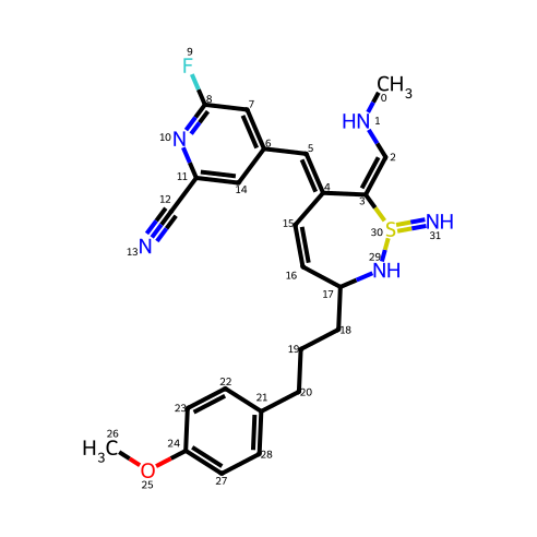 CN/C=C1\C(=C\c2cc(F)nc(C#N)c2)C=CC(CCCc2ccc(OC)cc2)NS1=N